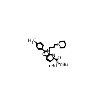 CCCCN(CCCC)C(=O)c1ccc2nc(-c3ccc(C)cc3)n(CCCN3CCCCC3)c2n1